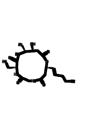 CC(C)[C@H]1NC(=O)[C@@H](CS)NC(=O)CNC(=O)C[C@@H](/C=C/CCS)OC(=O)C[C@@H]1O